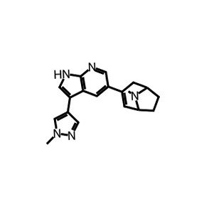 CN1C2C=C(c3cnc4[nH]cc(-c5cnn(C)c5)c4c3)CC1CC2